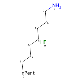 CCCCCCCCCCCCN.F